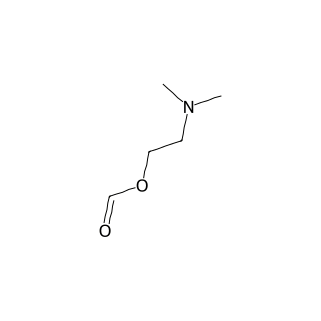 CN(C)CCOC=O